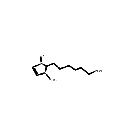 CCCCCCCCCCCCCCCCC1N(CCC)C=CN1CCCCCC